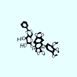 COc1cc([C@@H]2c3cc4c(cc3[C@H](OC3OC5COC(c6ccccc6)OC5C(O)C3O)[C@H]3COC(=O)[C@H]23)OCO4)cc(OC)c1OC